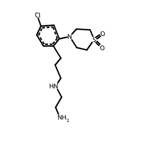 NCCNCCCc1ccc(Cl)cc1N1CCS(=O)(=O)CC1